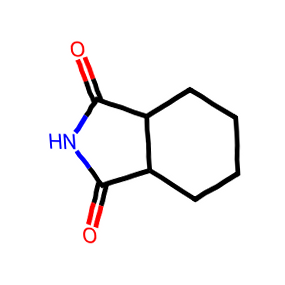 O=C1NC(=O)C2CCCCC12